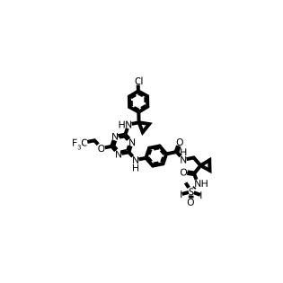 CS(=O)(I)(I)NC(=O)C1(CNC(=O)c2ccc(Nc3nc(NC4(c5ccc(Cl)cc5)CC4)nc(OCC(F)(F)F)n3)cc2)CC1